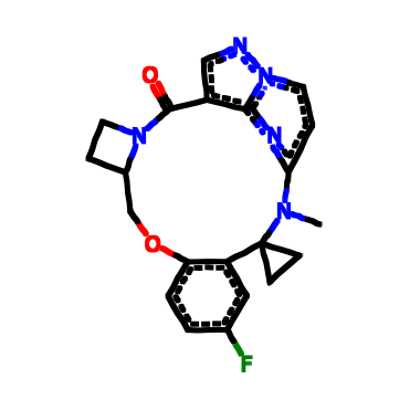 CN1c2ccn3ncc(c3n2)C(=O)N2CCC2COc2ccc(F)cc2C12CC2